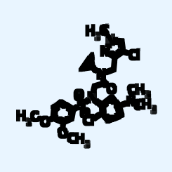 COc1ccc(S(=O)(=O)N(CC(=O)N(Cc2nn(C)cc2Cl)C2CC2)c2cc(N(C)C)ccc2Cl)cc1OC